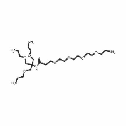 NCCOCCOCCOCCOCCC(=O)NC(COCCN)(COCCN)COCCN